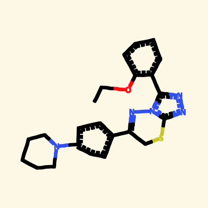 CCOc1ccccc1-c1nnc2n1N=C(c1ccc(N3CCCCC3)cc1)CS2